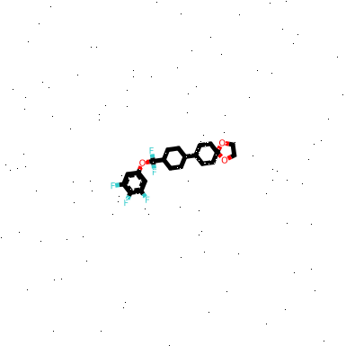 Fc1cc(OC(F)(F)C2CCC(C3CCC4(CC3)OCCO4)CC2)cc(F)c1F